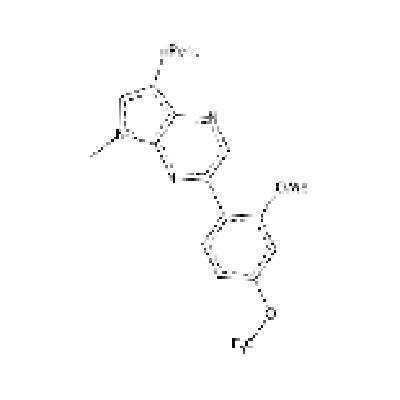 CCCCCc1cn(C)c2nc(-c3ccc(OC(F)(F)F)cc3OC)cnc12